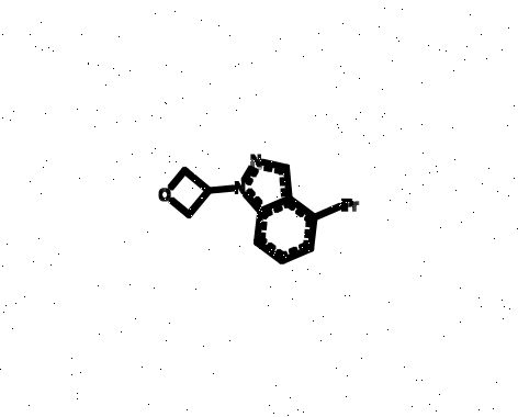 CC(C)c1cccc2c1cnn2C1COC1